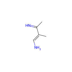 CC(=N)/C(C)=C/N